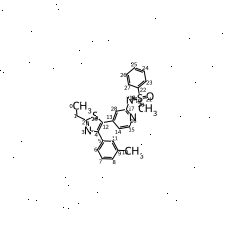 CCc1nc(-c2cccc(C)c2)c(-c2ccnc(N=S(C)(=O)c3ccccc3)c2)s1